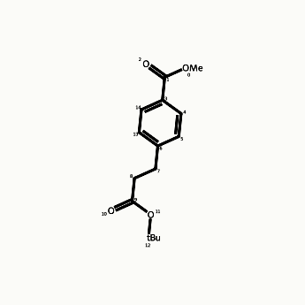 COC(=O)c1ccc(CCC(=O)OC(C)(C)C)cc1